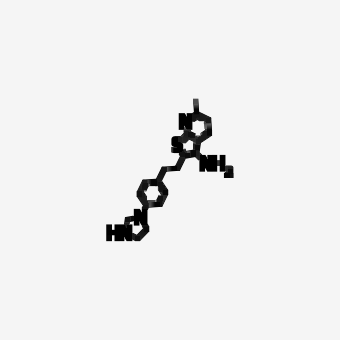 Cc1ccc2c(N)c(CCc3ccc(N4CCNC4)cc3)sc2n1